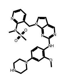 COc1cc(N2CCNCC2)ccc1Nc1ncc2ccn(Cc3cccnc3N(C)S(C)(=O)=O)c2n1